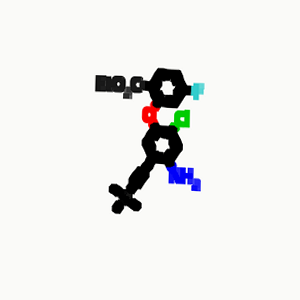 CCOC(=O)c1ccc(F)cc1Oc1cc(C#C[Si](C)(C)C)c(N)cc1Cl